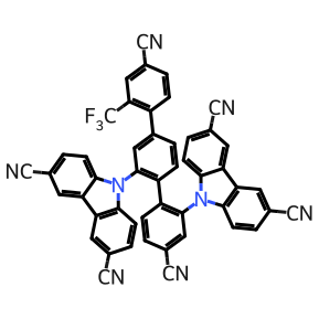 N#Cc1ccc(-c2ccc(-c3ccc(C#N)cc3C(F)(F)F)cc2-n2c3ccc(C#N)cc3c3cc(C#N)ccc32)c(-n2c3ccc(C#N)cc3c3cc(C#N)ccc32)c1